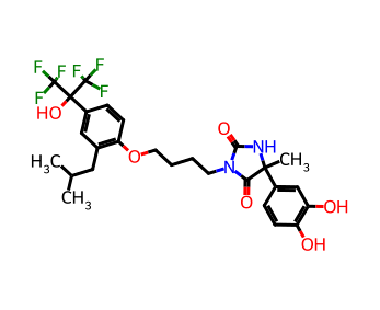 CC(C)Cc1cc(C(O)(C(F)(F)F)C(F)(F)F)ccc1OCCCCN1C(=O)NC(C)(c2ccc(O)c(O)c2)C1=O